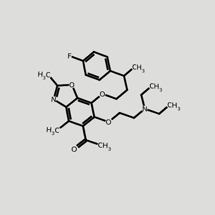 CCN(CC)CCOc1c(C(C)=O)c(C)c2nc(C)oc2c1OCCC(C)c1ccc(F)cc1